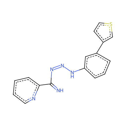 N=C(/N=N\Nc1cccc(-c2ccsc2)c1)c1ccccn1